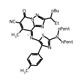 CCCCCN(CCCCC)c1nc(-c2ccc(C)cc2)c(/N=C2/C(C)=C(C#N)C(=O)n3nc(C(CC)CCCC)nc32)s1